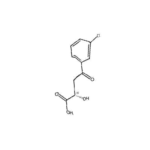 O=C(C[C@H](O)C(=O)O)c1cccc(Cl)c1